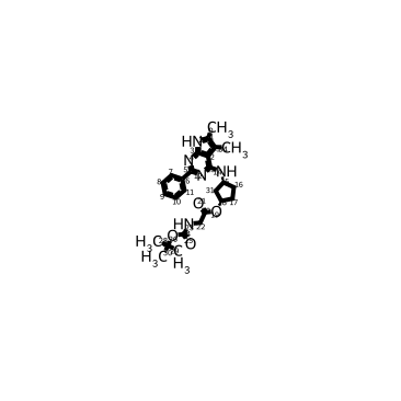 Cc1[nH]c2nc(-c3ccccc3)nc(N[C@H]3CC[C@@H](OC(=O)CNC(=O)OC(C)(C)C)C3)c2c1C